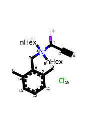 C#CC(I)[N+](CCCCCC)(CCCCCC)Cc1c(C)cccc1C.[Cl-]